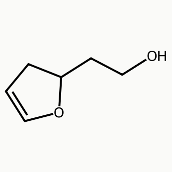 OCCC1CC=CO1